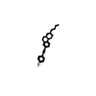 CCCCC1CCC2c3ccc(C#Cc4ccc(F)cc4)cc3CCC2C1